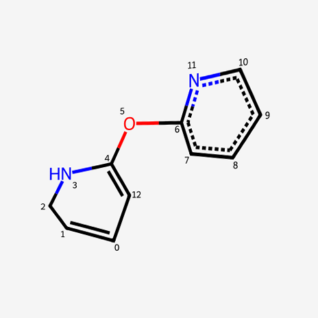 C1=CCNC(Oc2ccccn2)=C1